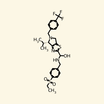 CCS(=O)(=O)c1ccc(CNC(O)c2nc3c(s2)CN(Cc2ccc(C(F)(F)F)cc2)[C@H]3C(C)C)cc1